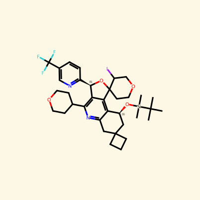 CC(C)(C)[Si](C)(C)O[C@H]1CC2(CCC2)Cc2nc(C3CCOCC3)c3c(c21)C1(CCOCC1I)O[C@@H]3c1ccc(C(F)(F)F)cn1